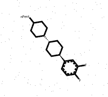 CCCCCC1CCC([C@H]2CC[C@H](c3ccc(F)c(F)c3)CC2)CC1